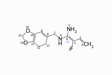 C=C/C(F)=C(\N)NCC1=CC2=C(CC1)OCO2